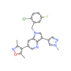 Cc1noc(C)c1-c1cnc2c(-c3cnn(C)c3)cn(Cc3cc(F)ccc3Cl)c2c1